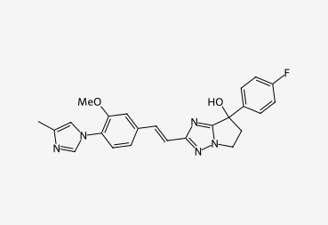 COc1cc(C=Cc2nc3n(n2)CCC3(O)c2ccc(F)cc2)ccc1-n1cnc(C)c1